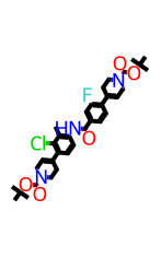 Cc1c(NC(=O)c2ccc(C3=CCN(C(=O)OC(C)(C)C)CC3)c(F)c2)ccc(C2=CCN(C(=O)OC(C)(C)C)CC2)c1Cl